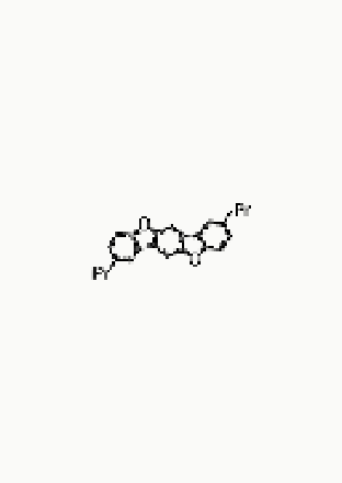 CC(C)c1ccc2oc3cc4c(cc3c2c1)oc1ccc(C(C)C)cc14